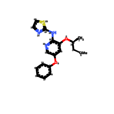 COC[C@H](C)Oc1cc(Oc2ccccc2)cnc1Nc1nccs1